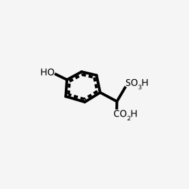 O=C(O)C(c1ccc(O)cc1)S(=O)(=O)O